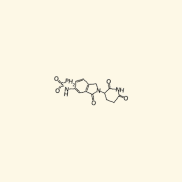 O=C1CCC(N2Cc3ccc(NS(=O)(=O)P)cc3C2=O)C(=O)N1